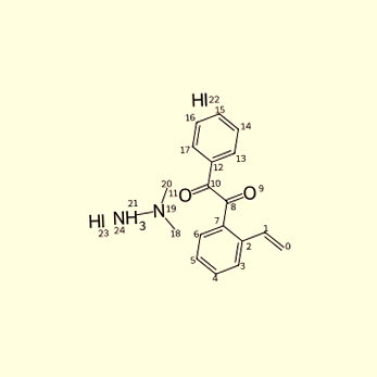 C=Cc1ccccc1C(=O)C(=O)c1ccccc1.CN(C)C.I.I.N